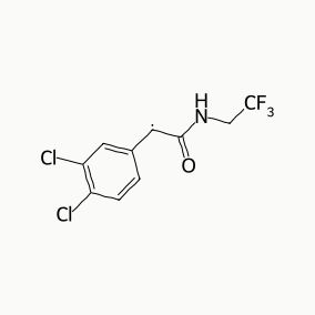 O=C([CH]c1ccc(Cl)c(Cl)c1)NCC(F)(F)F